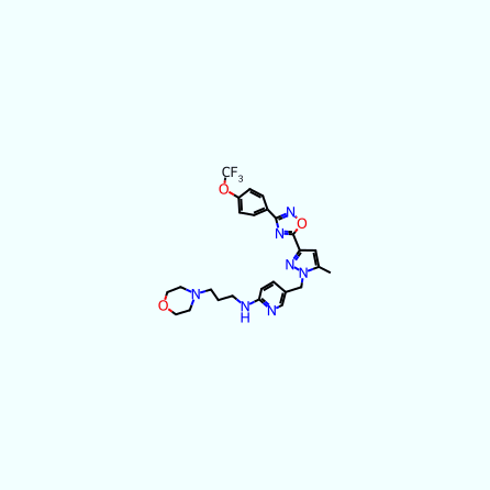 Cc1cc(-c2nc(-c3ccc(OC(F)(F)F)cc3)no2)nn1Cc1ccc(NCCCN2CCOCC2)nc1